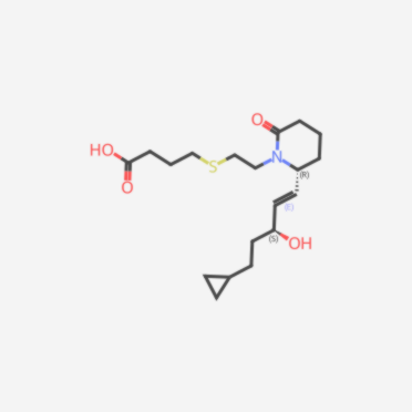 O=C(O)CCCSCCN1C(=O)CCC[C@@H]1/C=C/[C@@H](O)CCC1CC1